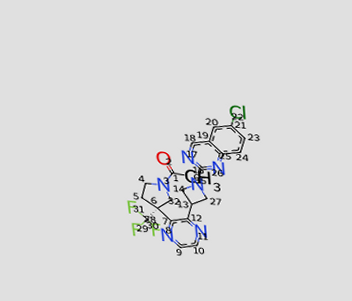 CC(=O)N1CC[C@@](c2nccnc2C2CN(c3ncc4cc(Cl)ccc4n3)C2)(C(F)(F)F)C1